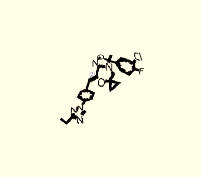 CCc1ncn(-c2ccc(/C=C3\OC4(CC4)CN4C3=NOC4(C)c3ccc(F)c(Cl)c3)cc2)n1